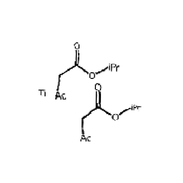 CC(=O)CC(=O)OC(C)C.CC(=O)CC(=O)OC(C)C.[Ti]